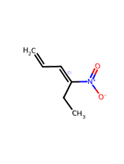 C=C/C=C(\CC)[N+](=O)[O-]